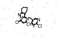 Cc1cc(=O)n2nc3c(c2n1Cc1ccc(Cl)nc1)CCCC3